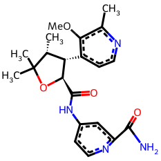 COc1c([C@@H]2[C@@H](C(=O)Nc3ccnc(C(N)=O)c3)OC(C)(C)[C@@H]2C)ccnc1C